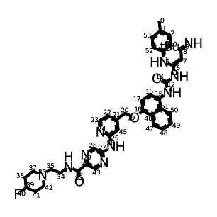 Cc1ccc(N/C(=C\C(=N)C(C)(C)C)NC(=O)Nc2ccc(OCc3ccnc(Nc4cnc(C(=O)NCCN5CCC(F)CC5)cn4)c3)c3ccccc23)cc1